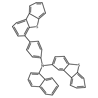 c1ccc2c(N(c3ccc(-c4cccc5c4sc4ccccc45)cc3)c3ccc4sc5ccccc5c4c3)cccc2c1